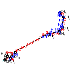 CCn1c(C(=O)Nc2ccc(OCCOCCOCCOCCOCCOCCOCCOCCOCCNC(=O)CCNC(=O)c3nc(NC(=O)CCNC(=O)c4cc(NC(=O)c5nc(NC(=O)CCNC(=O)c6cc(NC(=O)c7nccn7C)cn6C)cn5C)cn4C)cn3C)cc2)cc2c(-c3cc(C(C)(C)O)ccc3Oc3c(C)cc(F)cc3C)cn(C)c(=O)c21